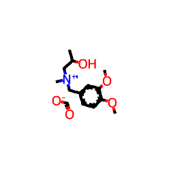 COc1ccc(C[N+](C)(C)CC(C)O)cc1OC.O=C[O-]